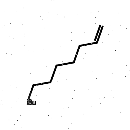 C=CCCCCCC(C)CC